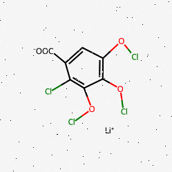 O=C([O-])c1cc(OCl)c(OCl)c(OCl)c1Cl.[Li+]